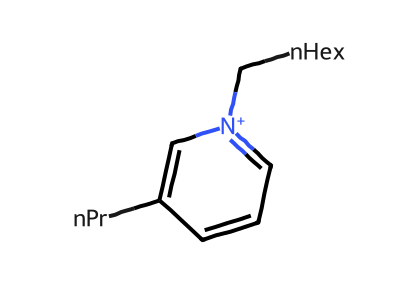 CCCCCCC[n+]1cccc(CCC)c1